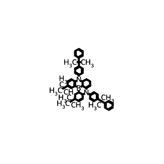 CC(C)(C)c1ccc2c(c1)B1C3CC(C(C)(C)C)C=CC3N(c3ccc(C(C)(C)c4ccccc4)cc3)C3=CCCC(C13)N2c1ccc(C(C)(C)c2ccccc2)cc1